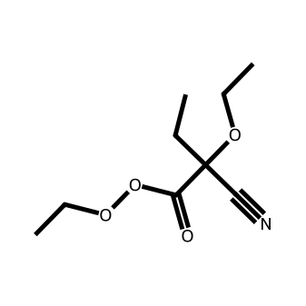 CCOOC(=O)C(C#N)(CC)OCC